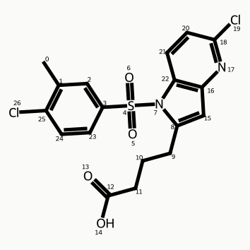 Cc1cc(S(=O)(=O)n2c(CCCC(=O)O)cc3nc(Cl)ccc32)ccc1Cl